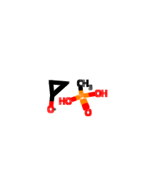 CP(=O)(O)O.[O]C1CC1